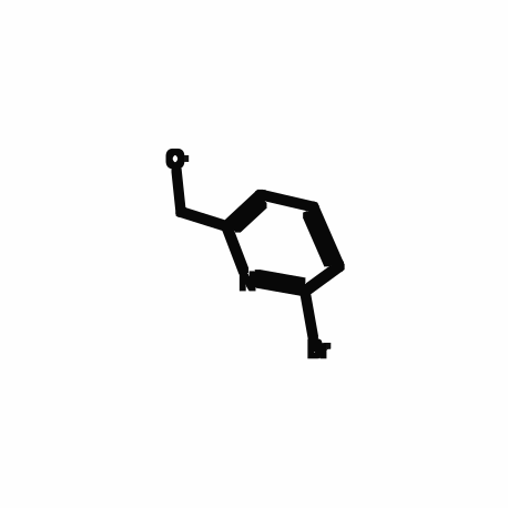 [O]Cc1cccc(Br)n1